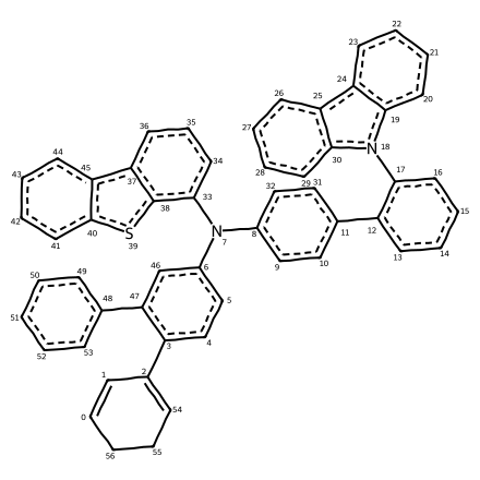 C1=CC(c2ccc(N(c3ccc(-c4ccccc4-n4c5ccccc5c5ccccc54)cc3)c3cccc4c3sc3ccccc34)cc2-c2ccccc2)=CCC1